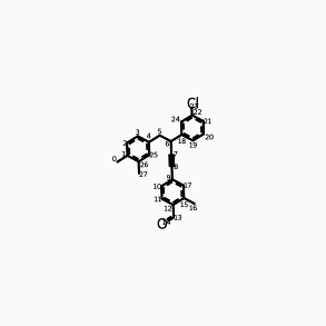 Cc1ccc(CC(C#Cc2ccc(C=O)c(C)c2)c2cccc(Cl)c2)cc1C